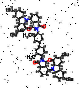 Cc1cc(-c2ccc(N3C(=O)c4cccc(-n5c6ccc(C(C)(C)C)cc6c6cc(C(C)(C)C)ccc65)c4C3=O)c(C)c2)ccc1N1C(=O)c2cccc(-n3c4ccc(C(C)(C)C)cc4c4cc(C(C)(C)C)ccc43)c2C1=O